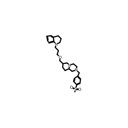 CS(=O)(=O)c1ccc(CN2CCN3CC(COCCCN4CCCc5ccccc54)CCC3C2)cc1